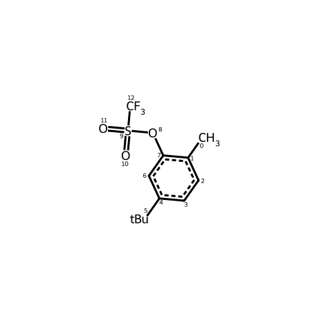 Cc1ccc(C(C)(C)C)cc1OS(=O)(=O)C(F)(F)F